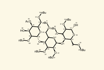 CCCCOCC1O[C@@H](O[C@H]2C(OCCCC)C(OCCCC)[C@H](O)O[C@H]2COCCCC)[C@@H](OCCCC)C(OCCCC)[C@H]1O[C@H]1OC(COCCCC)[C@H](OC(C)=O)[C@H](O)C1OCCCC